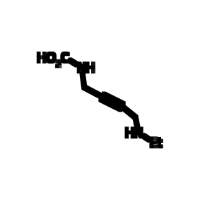 CCNCC#CCNC(=O)O